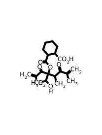 C=C(C)C(=O)C(C)C(OC(=O)C1CCCCC1C(=O)O)(C(=O)C(=C)C)C(C)O